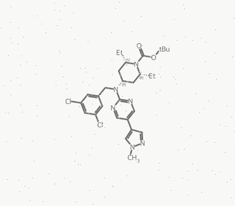 CC[C@@H]1C[C@H](N(Cc2cc(Cl)cc(Cl)c2)c2ncc(-c3cnn(C)c3)cn2)C[C@H](CC)N1C(=O)OC(C)(C)C